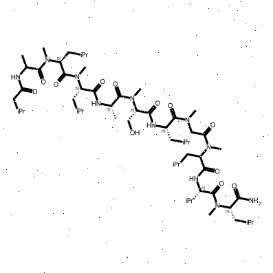 CC(C)CC(=O)NC(C)C(=O)N(C)[C@@H](CC(C)C)C(=O)N(C)[C@@H](CC(C)C)C(=O)N[C@@H](C)C(=O)N(C)[C@@H](CO)C(=O)N[C@@H](CC(C)C)C(=O)N(C)CC(=O)N(C)C(CC(C)C)C(=O)N[C@H](C(=O)N(C)[C@@H](CC(C)C)C(N)=O)C(C)C